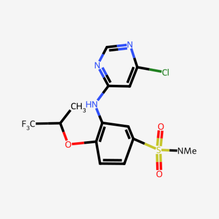 CNS(=O)(=O)c1ccc(OC(C)C(F)(F)F)c(Nc2cc(Cl)ncn2)c1